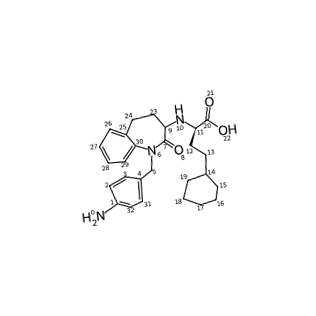 Nc1ccc(CN2C(=O)C(N[C@H](CCC3CCCCC3)C(=O)O)CCc3ccccc32)cc1